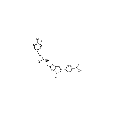 COC(=O)c1ccc(-c2cc(Cl)c3oc(CNC(=O)C=Cc4ccc(N)nc4)cc3c2)nc1